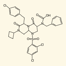 O=C1C(Cc2ccc(Cl)cc2)N2C(=O)C(N(Cc3ccccc3)C(=O)O)CN(S(=O)(=O)c3ccc(Cl)cc3Cl)C2CN1C1CCC1